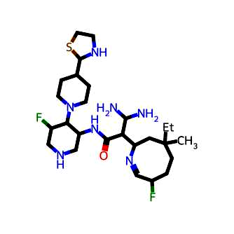 CCC1(C)CCC(F)/C=N\C(C(C(=O)NC2CNCC(F)C2N2CCC(C3NCCS3)CC2)C(N)N)C1